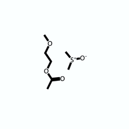 COCCOC(C)=O.C[S+](C)[O-]